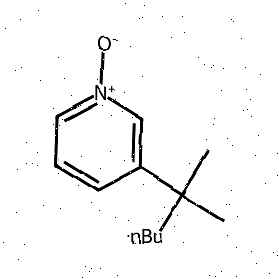 CCC[CH]C(C)(C)c1ccc[n+]([O-])c1